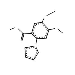 COC(=O)c1cc(OC)c(OC)cc1-n1cccc1